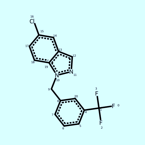 FC(F)(F)c1cccc(Cn2ncc3cc(Cl)ccc32)c1